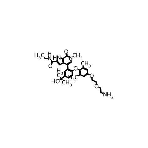 CCNC(=O)c1cc2c(-c3cc(C(C)(C)O)ccc3Oc3c(C)cc(OCCOCCN)cc3C)cn(C)c(=O)c2[nH]1